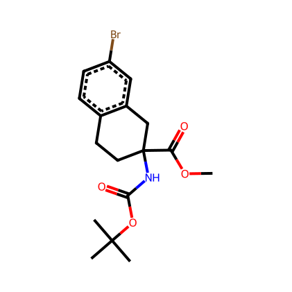 COC(=O)C1(NC(=O)OC(C)(C)C)CCc2ccc(Br)cc2C1